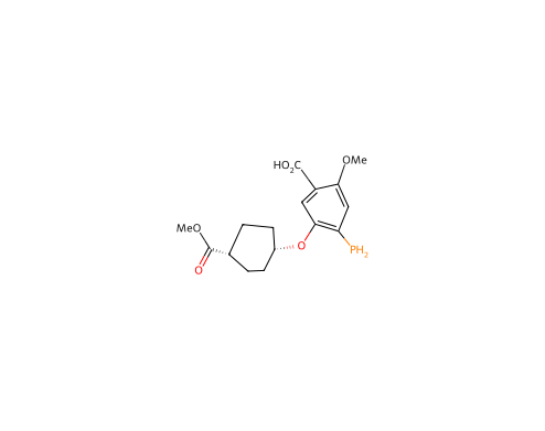 COc1cc(P)c(O[C@H]2CC[C@@H](C(=O)OC)CC2)cc1C(=O)O